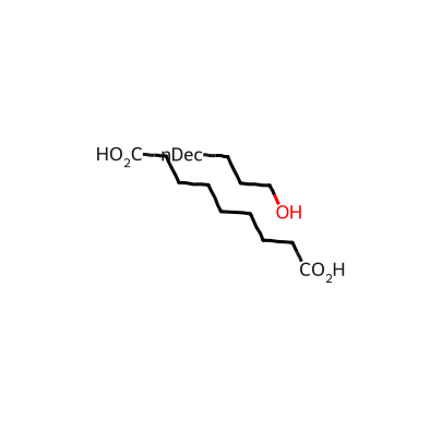 CCCCCCCCCCCCCO.O=C(O)CCCCCCCC(=O)O